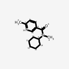 Cc1ccc(C(=O)N(C)C2CCCCC2)cn1